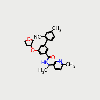 Cc1ccc(-c2cc(OC3CCOC3)cc(C(=O)N[C@H](C)c3ccc(C)nc3)c2)c(C#N)c1